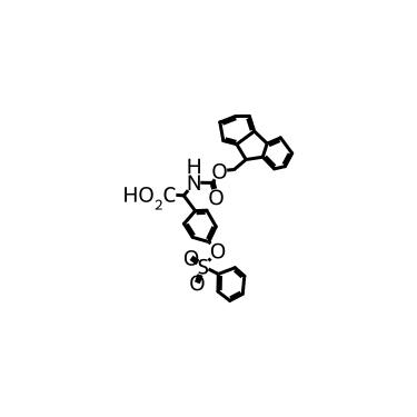 O=C(NC(C(=O)O)c1ccc(OS(=O)(=O)c2ccccc2)cc1)OCC1c2ccccc2-c2ccccc21